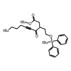 CC(C)(C)CCCC#CC(=O)C(CCO[Si](c1ccccc1)(c1ccccc1)C(C)(C)C)CC(=O)OC(C)(C)C